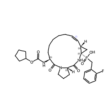 O=C(N[C@H]1CCCCC/C=C\[C@@H]2C[C@@]2(P(=O)(O)Cc2ccccc2F)NC(=O)[C@@H]2CCCN2C1=O)OC1CCCC1